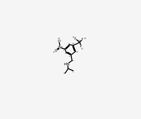 CC(C)NCc1cc([N+](=O)[O-])cc(C(F)(F)F)c1